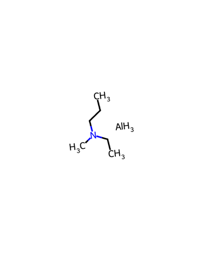 CCCN(C)CC.[AlH3]